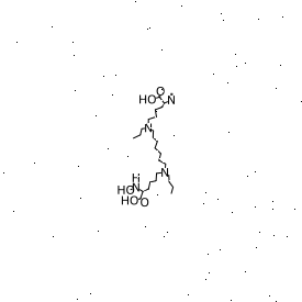 C=N[C@@H](CCCCN(CCC)CCCCCCCN(CCCC)CCCC[C@H](NO)C(=O)O)C(=O)O